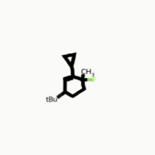 CC1(F)CCC(C(C)(C)C)C=C1C1CC1